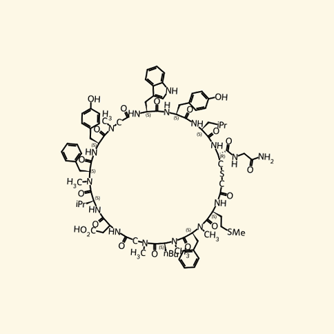 CCCC[C@H]1C(=O)N(C)CC(=O)NC(CC(=O)O)C(=O)N[C@@H](C(C)C)C(=O)N(C)[C@@H](Cc2ccccc2)C(=O)N[C@@H](Cc2ccc(O)cc2)C(=O)N(C)CC(=O)N[C@@H](Cc2c[nH]c3ccccc23)C(=O)N[C@@H](Cc2ccc(O)cc2)C(=O)N[C@@H](CC(C)C)C(=O)N[C@H](C(=O)NCC(N)=O)CSCC(=O)N[C@@H](CCSC)C(=O)N(C)[C@@H](Cc2ccccc2)C(=O)N1C